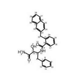 NC(=O)[C@@H](O)C(Cc1ccccc1)NC(=O)c1ccccc1Cc1ccc2ccccc2c1